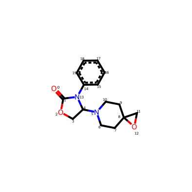 O=C1OCC(N2CCC3(CC2)CO3)N1c1ccccc1